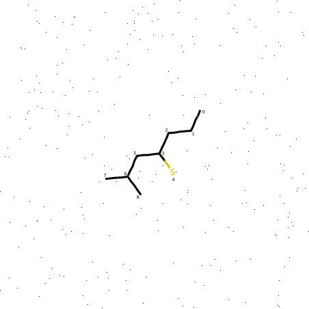 CCCC([S])CC(C)C